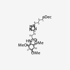 CCCCCCCCCCCCCCn1nnc(CCC(=O)Nc2c(OC)cc(OC)cc2OC)n1